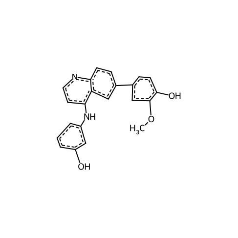 COc1cc(-c2ccc3nccc(Nc4cccc(O)c4)c3c2)ccc1O